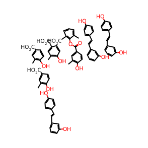 Cc1cc(C(=O)O)ccc1O.Cc1cc(C(=O)O)ccc1O.Cc1cc(C(=O)O)ccc1O.Cc1cc(C(=O)Oc2c(C)cccc2C(=O)O)ccc1O.Oc1ccc(C=Cc2cccc(O)c2)cc1.Oc1ccc(C=Cc2cccc(O)c2)cc1.Oc1ccc(C=Cc2cccc(O)c2)cc1